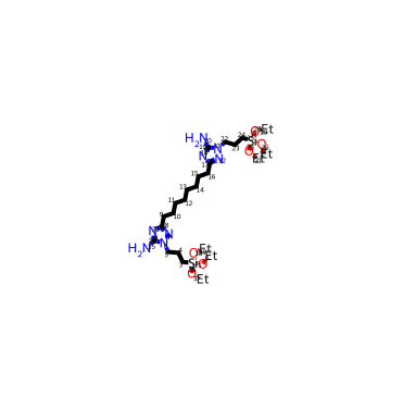 CCO[Si](CCCn1nc(CCCCCCCCc2nc(N)n(CCC[Si](OCC)(OCC)OCC)n2)nc1N)(OCC)OCC